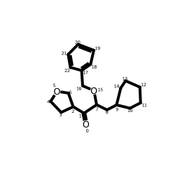 O=C(C1CCOC1)C(CC1CCCCC1)OCc1ccccc1